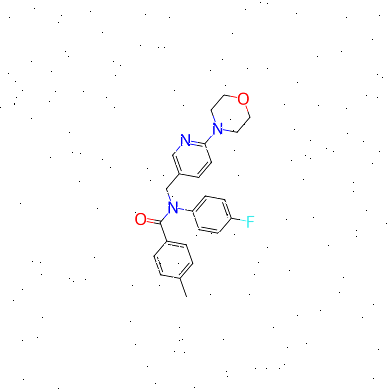 Cc1ccc(C(=O)N(Cc2ccc(N3CCOCC3)nc2)c2ccc(F)cc2)cc1